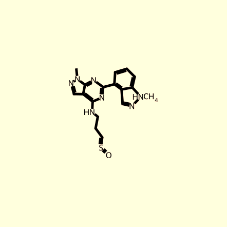 C.Cn1ncc2c(NCCC=S=O)nc(-c3cccc4[nH]ncc34)nc21